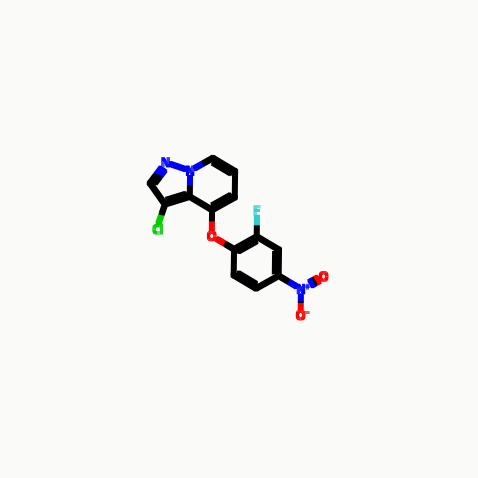 O=[N+]([O-])c1ccc(Oc2cccn3ncc(Cl)c23)c(F)c1